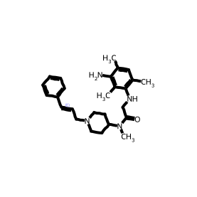 Cc1cc(C)c(NCC(=O)N(C)C2CCN(C/C=C/c3ccccc3)CC2)c(C)c1N